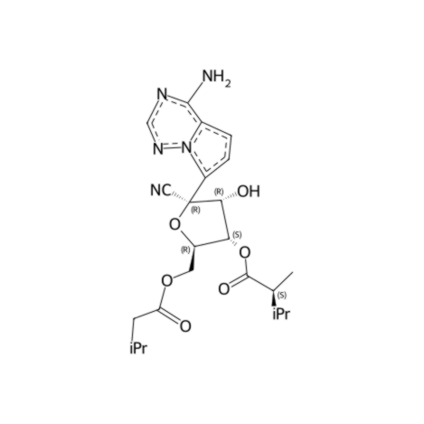 CC(C)CC(=O)OC[C@H]1O[C@@](C#N)(c2ccc3c(N)ncnn23)[C@H](O)[C@@H]1OC(=O)[C@@H](C)C(C)C